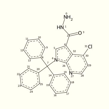 NNC(=O)c1cn(C(c2ccccc2)(c2ccccc2)c2ccccc2)c2nccc(Cl)c12